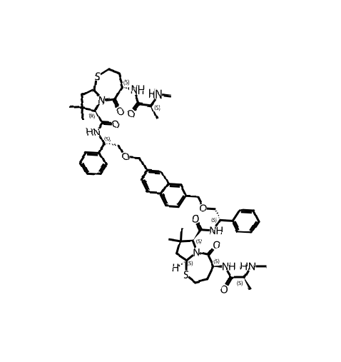 CN[C@@H](C)C(=O)N[C@H]1CCSC2CC(C)(C)[C@H](C(=O)N[C@H](COCc3ccc4ccc(COC[C@@H](NC(=O)[C@H]5N6C(=O)[C@@H](NC(=O)[C@H](C)NC)CCS[C@H]6CC5(C)C)c5ccccc5)cc4c3)c3ccccc3)N2C1=O